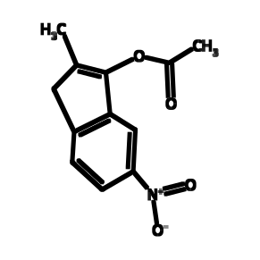 CC(=O)OC1=C(C)Cc2ccc([N+](=O)[O-])cc21